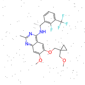 COCC1(COc2cc3c(N[C@H](C)c4cccc(C(F)(F)F)c4F)nc(C)nc3cc2OC)CC1